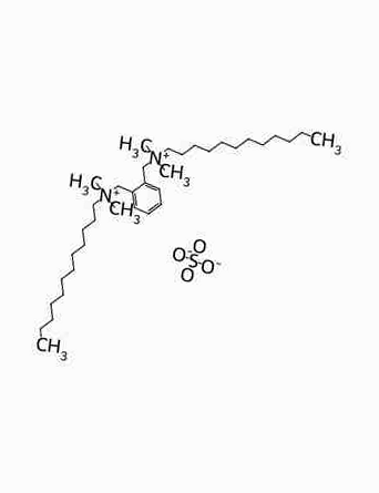 CCCCCCCCCCCC[N+](C)(C)Cc1ccccc1C[N+](C)(C)CCCCCCCCCCCC.O=S(=O)([O-])[O-]